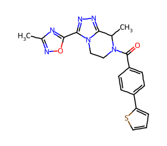 Cc1noc(-c2nnc3n2CCN(C(=O)c2ccc(-c4cccs4)cc2)C3C)n1